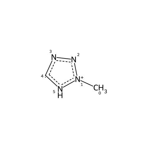 C[n+]1nn[c][nH]1